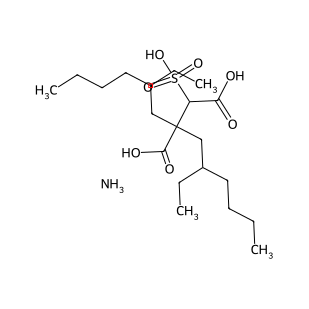 CCCCC(CC)CC(CC(CC)CCCC)(C(=O)O)C(C(=O)O)S(=O)(=O)O.N